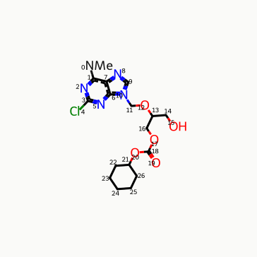 CNc1nc(Cl)nc2c1ncn2COC(CO)COC(=O)OC1CCCCC1